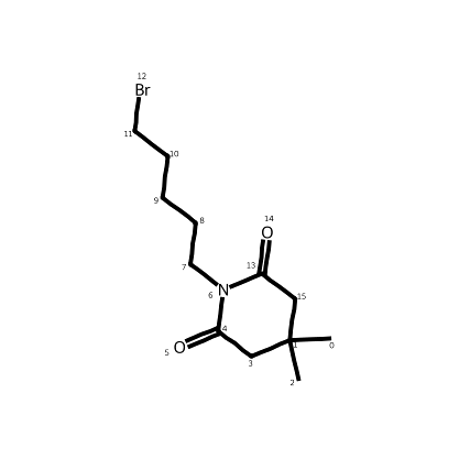 CC1(C)CC(=O)N(CCCCCBr)C(=O)C1